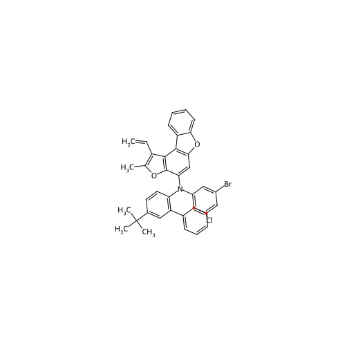 C=Cc1c(C)oc2c(N(c3cc(Cl)cc(Br)c3)c3ccc(C(C)(C)C)cc3-c3ccccc3)cc3oc4ccccc4c3c12